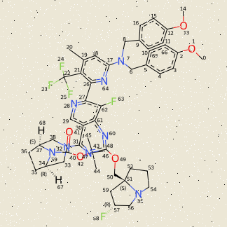 COc1ccc(CN(Cc2ccc(OC)cc2)c2cc(C)c(C(F)(F)F)c(-c3ncc4c(N5C[C@H]6CC[C@@H](C5)N6C(=O)OC(C)(C)C)nc(OC[C@@]56CCCN5C[C@H](F)C6)nc4c3F)n2)cc1